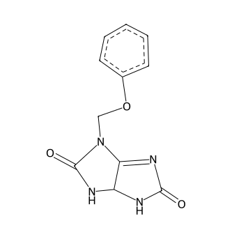 O=C1N=C2C(N1)NC(=O)N2COc1ccccc1